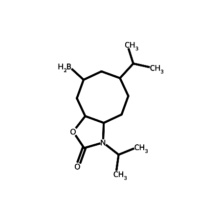 BC1CC(C(C)C)CCC2C(C1)OC(=O)N2C(C)C